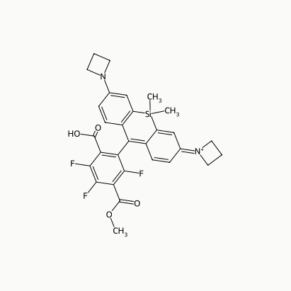 COC(=O)c1c(F)c(F)c(C(=O)O)c(C2=C3C=CC(=[N+]4CCC4)C=C3[Si](C)(C)c3cc(N4CCC4)ccc32)c1F